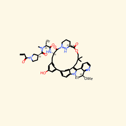 C=CC(=O)N1CC[C@H](C(=O)N(C)[C@H](C(=O)N[C@H]2Cc3cc(O)cc(c3)-c3ccc4c(c3)c(c(-c3cccnc3[C@H](C)OC)n4CC)CC(C)(C)COC(=O)[C@@H]3CCCN(N3)C2=O)C(C)C)C1